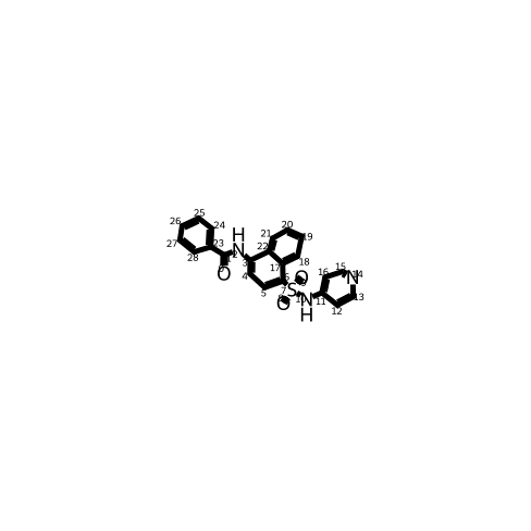 O=C(Nc1ccc(S(=O)(=O)Nc2ccncc2)c2ccccc12)c1ccccc1